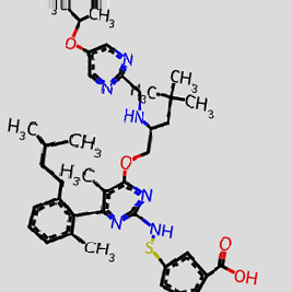 Cc1cccc(CCC(C)C)c1-c1nc(NSc2cccc(C(=O)O)c2)nc(OCC(CC(C)(C)C)NCc2ncc(OC(C)C)cn2)c1C